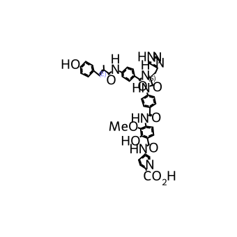 COc1c(NC(=O)c2ccc(NC(=O)[C@H](Cc3c[nH]nn3)NC(=O)c3ccc(NC(=O)/C(C)=C/c4ccc(O)cc4)cc3)cc2)ccc(C(=O)Nc2ccc(C(=O)O)nc2)c1O